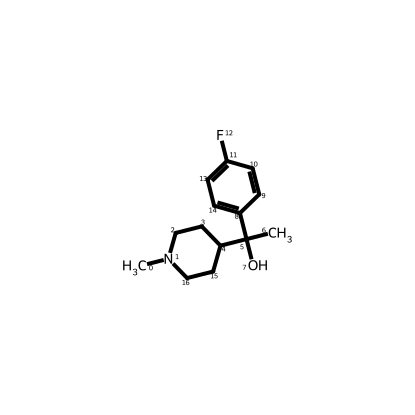 CN1CCC(C(C)(O)c2ccc(F)cc2)CC1